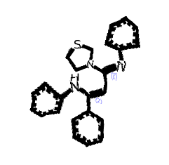 C(=C(/Nc1ccccc1)c1ccccc1)/C(=N/c1ccccc1)N1CCSC1